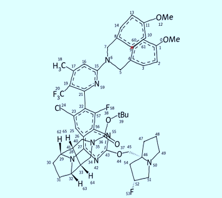 COc1ccc(CN(Cc2ccc(OC)cc2)c2cc(C)c(C(F)(F)F)c(-c3c(Cl)cc4c(N5[C@@H]6CC[C@H]5[C@H]5CN(C(=O)OC(C)(C)C)C[C@H]56)nc(OC[C@]56CCCN5C[C@H](F)C6)nc4c3F)n2)cc1